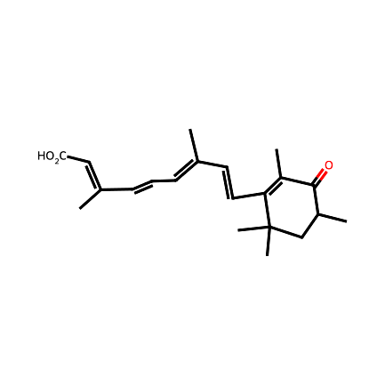 CC(C=CC1=C(C)C(=O)C(C)CC1(C)C)=CC=CC(C)=CC(=O)O